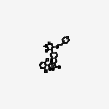 Cn1ncc(OCCN2CCOCC2)c(-c2ccc(C[C@H](NC(=O)c3c(Cl)cccc3Cl)C(=O)O)cc2)c1=O